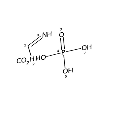 N=CC(=O)O.O=P(O)(O)O